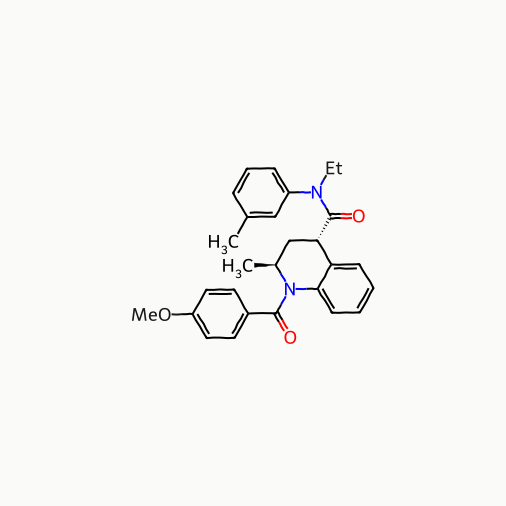 CCN(C(=O)[C@H]1C[C@H](C)N(C(=O)c2ccc(OC)cc2)c2ccccc21)c1cccc(C)c1